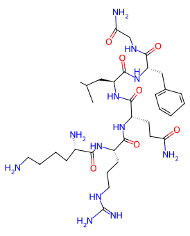 CC(C)C[C@H](NC(=O)[C@H](CCC(N)=O)NC(=O)[C@H](CCCNC(=N)N)NC(=O)[C@@H](N)CCCCN)C(=O)N[C@@H](Cc1ccccc1)C(=O)NCC(N)=O